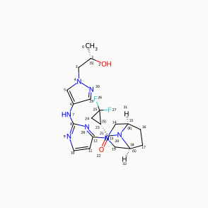 C[C@H](O)Cn1cc(Nc2nccc(N3C[C@H]4CC[C@@H](C3)N4C(=O)[C@@H]3CC3(F)F)n2)cn1